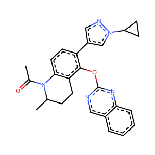 CC(=O)N1c2ccc(-c3cnn(C4CC4)c3)c(Oc3ncc4ccccc4n3)c2CCC1C